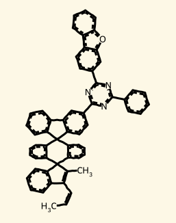 C/C=C\C1=C(C)C2(c3ccccc31)c1ccccc1C1(c3ccccc3-c3cc(-c4nc(-c5ccccc5)nc(-c5ccc6c(c5)oc5ccccc56)n4)ccc31)c1ccccc12